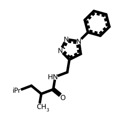 CC(C)CC(C)C(=O)NCc1cn(-c2ccccc2)nn1